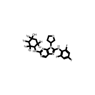 [2H]C1C([2H])(O)CC([2H])([2H])C(Nc2ncc3nc(Nc4c(F)cc(F)cc4F)n(C4CCOC4)c3n2)C1([2H])[2H]